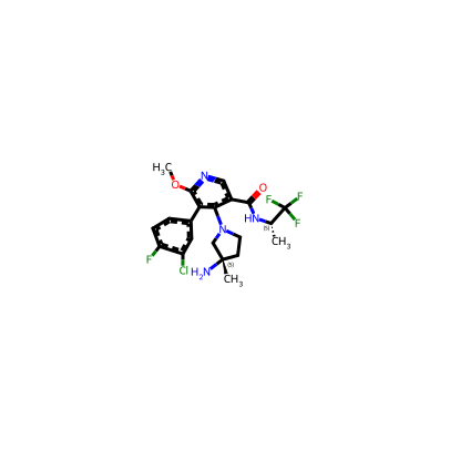 COc1ncc(C(=O)N[C@@H](C)C(F)(F)F)c(N2CC[C@](C)(N)C2)c1-c1ccc(F)c(Cl)c1